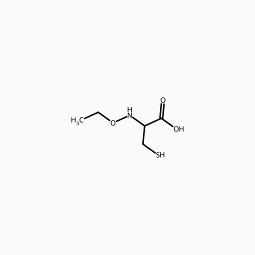 CCONC(CS)C(=O)O